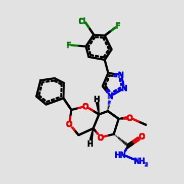 CO[C@@H]1[C@@H](n2cc(-c3cc(F)c(Cl)c(F)c3)nn2)[C@H]2OC(c3ccccc3)OC[C@H]2O[C@H]1C(=O)NN